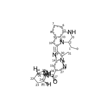 CCC1CNc2cccc3cc(-c4nc5cc(C(=O)N6C[C@H]7CC[C@@H]6[C@@H]7N)cnn5c4C)n1c23